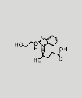 O=C(O)CCC(=O)O.OCCO.c1ccc2[nH]cnc2c1